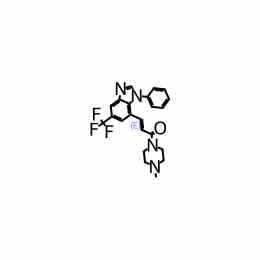 CN1CCN(C(=O)/C=C/c2cc(C(F)(F)F)cc3ncn(-c4ccccc4)c23)CC1